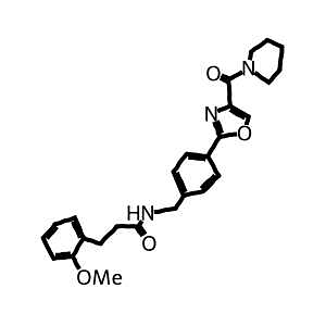 COc1ccccc1CCC(=O)NCc1ccc(-c2nc(C(=O)N3CCCCC3)co2)cc1